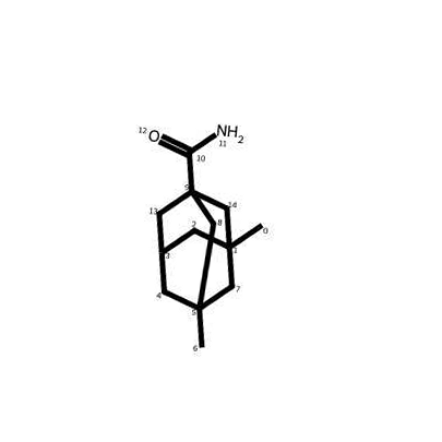 CC12CC3CC(C)(C1)CC(C(N)=O)(C3)C2